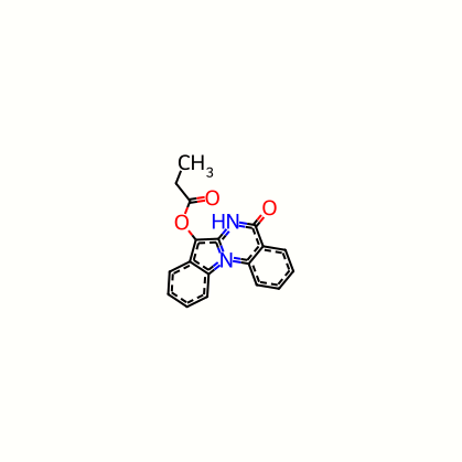 CCC(=O)Oc1c2ccccc2n2c1[nH]c(=O)c1ccccc12